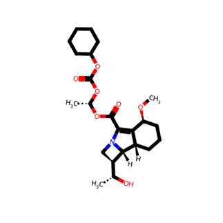 CO[C@H]1CCC[C@H]2C1=C(C(=O)O[C@H](C)OC(=O)OC1CCCCC1)N1C[C@H]([C@@H](C)O)[C@@H]21